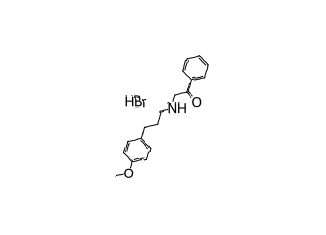 Br.COc1ccc(CCCNCC(=O)c2ccccc2)cc1